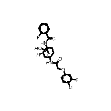 O=C(COc1ccc(Cl)c(F)c1)NC12CCC(NC(=O)c3ccccc3F)(CC1)[C@@H](O)C2